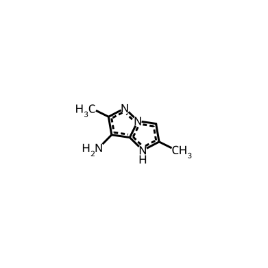 Cc1cn2nc(C)c(N)c2[nH]1